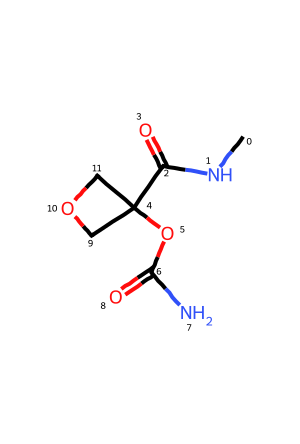 CNC(=O)C1(OC(N)=O)COC1